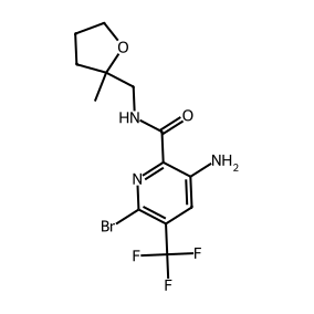 CC1(CNC(=O)c2nc(Br)c(C(F)(F)F)cc2N)CCCO1